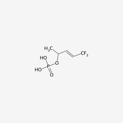 CC(C=CC(F)(F)F)OP(=O)(O)O